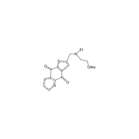 CCN(CCOC)Cc1cc2c(s1)C(=O)c1cccnc1C2=O